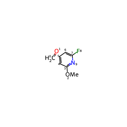 C=O.COc1cccc(F)n1